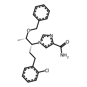 C[C@H](OCc1ccccc1)[C@@H](CCc1ccccc1Cl)n1cnc(C(N)=O)c1